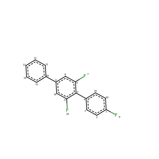 Fc1ccc(-c2c(F)cc(-c3ccccc3)cc2F)cc1